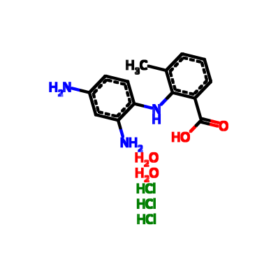 Cc1cccc(C(=O)O)c1Nc1ccc(N)cc1N.Cl.Cl.Cl.O.O